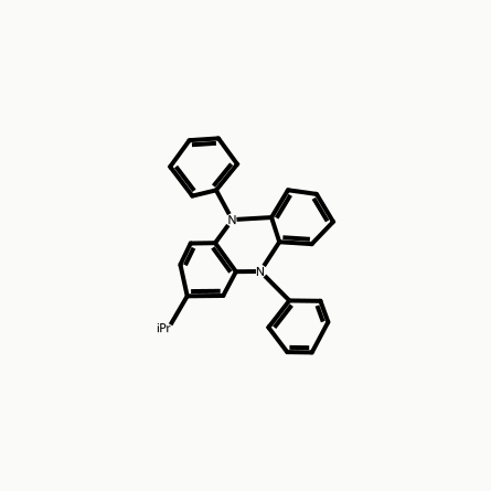 CC(C)c1ccc2c(c1)N(c1ccccc1)c1ccccc1N2c1ccccc1